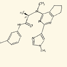 C[C@H](C(=O)Nc1cccc(F)c1)N(C)c1nc(-c2cn(C)cn2)nc2c1CCC2